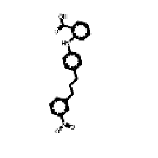 O=C(O)c1ccccc1Nc1ccc(CCCc2cccc([N+](=O)[O-])c2)cc1